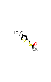 CC(C)(C)C(=O)SC[C@H]1C[C@H](C(=O)O)CS1